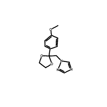 COc1ccc(C2(Cn3cncn3)OCCO2)cc1